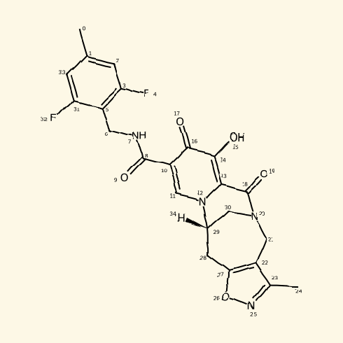 Cc1cc(F)c(CNC(=O)c2cn3c(c(O)c2=O)C(=O)N2Cc4c(C)noc4C[C@H]3C2)c(F)c1